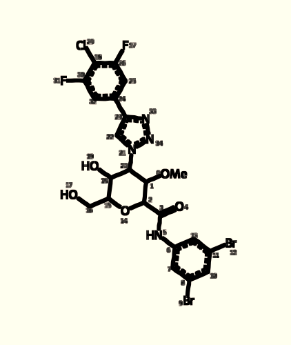 COC1C(C(=O)Nc2cc(Br)cc(Br)c2)OC(CO)C(O)C1n1cc(-c2cc(F)c(Cl)c(F)c2)nn1